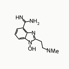 CNCCc1nc2c(C(=N)N)cccc2n1O